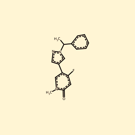 CC(c1ccccc1)n1cc(-c2cn(C)c(=O)cc2F)cn1